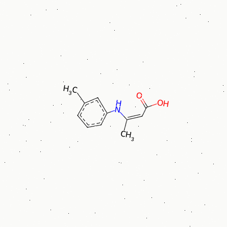 C/C(=C/C(=O)O)Nc1cccc(C)c1